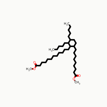 CCCCCC1CCC(CCCCCCCCC(=O)OC)C(CCCCCCCCCCCC(=O)OC)C1CCCCC